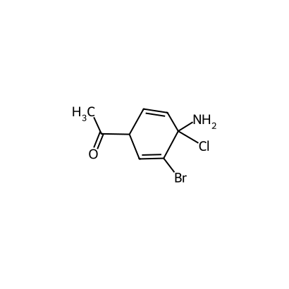 CC(=O)C1C=CC(N)(Cl)C(Br)=C1